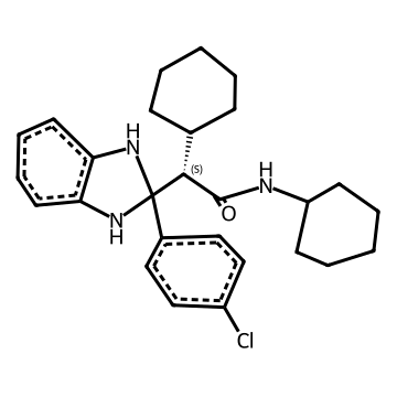 O=C(NC1CCCCC1)[C@@H](C1CCCCC1)C1(c2ccc(Cl)cc2)Nc2ccccc2N1